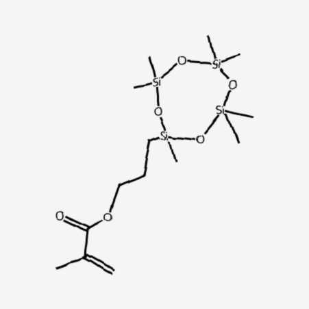 C=C(C)C(=O)OCCC[Si]1(C)O[Si](C)(C)O[Si](C)(C)O[Si](C)(C)O1